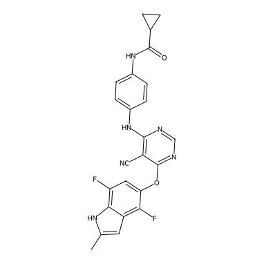 Cc1cc2c(F)c(Oc3ncnc(Nc4ccc(NC(=O)C5CC5)cc4)c3C#N)cc(F)c2[nH]1